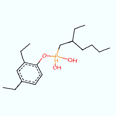 CCCCC(CC)C[PH](O)(O)Oc1ccc(CC)cc1CC